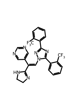 FC(F)(F)c1ccccc1-c1nc(-c2ccccc2C(F)(F)F)n(C=C(C2=NCCN2)c2cncnc2)n1